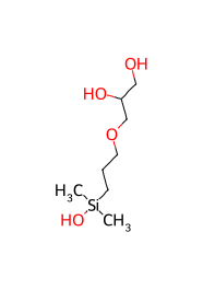 C[Si](C)(O)CCCOCC(O)CO